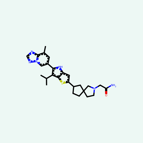 Cc1cc(-c2[nH]c3cc(C4CCC5(CCN(CC(N)=O)C5)C4)sc3c2C(C)C)cn2ncnc12